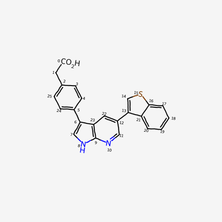 O=C(O)Cc1ccc(-c2c[nH]c3ncc(-c4csc5ccccc45)cc23)cc1